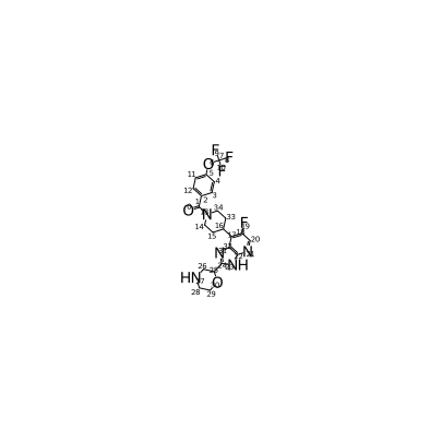 O=C(c1ccc(OC(F)(F)F)cc1)N1CCC(c2c(F)cnc3[nH]c(C4CNCCO4)nc23)CC1